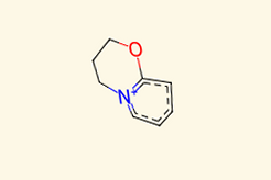 c1cc[n+]2c(c1)OCCC2